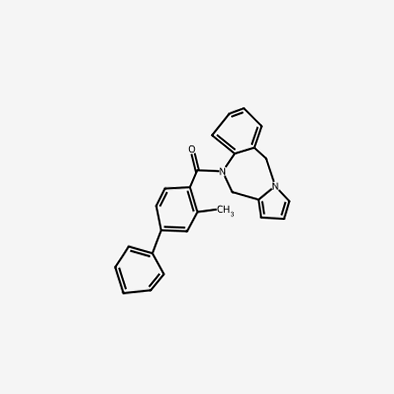 Cc1cc(-c2ccccc2)ccc1C(=O)N1Cc2cccn2Cc2ccccc21